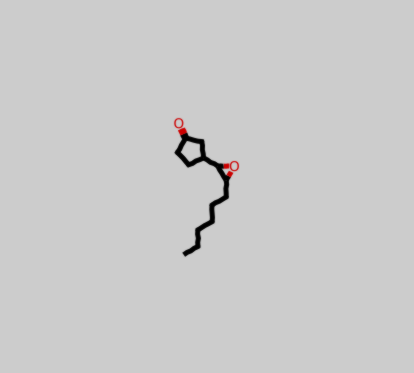 CCCCCCC1OC1C1CCC(=O)C1